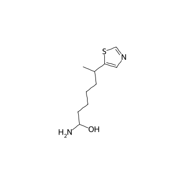 CC(CCCCC(N)O)c1cncs1